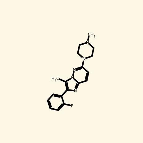 Cc1c(-c2ccccc2F)nc2ccc(N3CCN(C)CC3)nn12